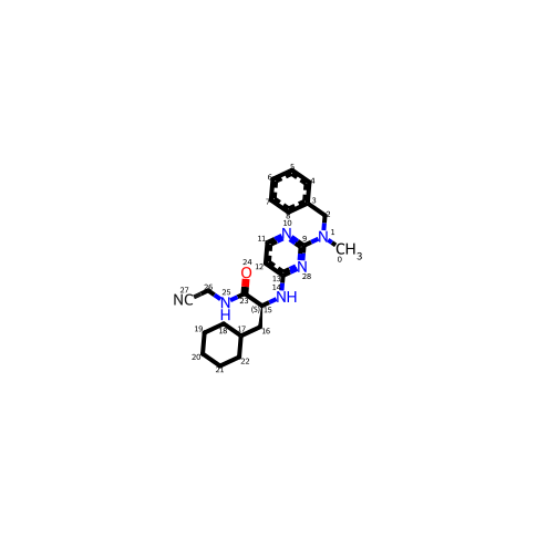 CN(Cc1ccccc1)c1nccc(N[C@@H](CC2CCCCC2)C(=O)NCC#N)n1